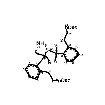 CCCCCCCCCCCCc1ccccc1C(C)(C)SC(C)(C)c1ccccc1CCCCCCCCCCCC.N